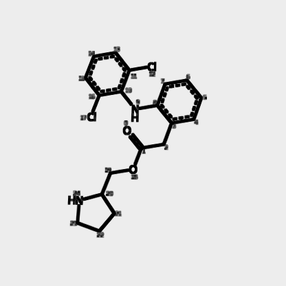 O=C(Cc1ccccc1Nc1c(Cl)cccc1Cl)OCC1CCCN1